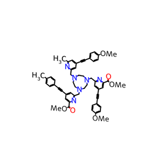 COC(=O)c1cc(C#Cc2ccc(C)cc2)cc(CN2CCN(Cc3cc(C#Cc4ccc(OC)cc4)cc(C)n3)CCN(Cc3cc(C#Cc4ccc(OC)cc4)cc(C(=O)OC)n3)CC2)n1